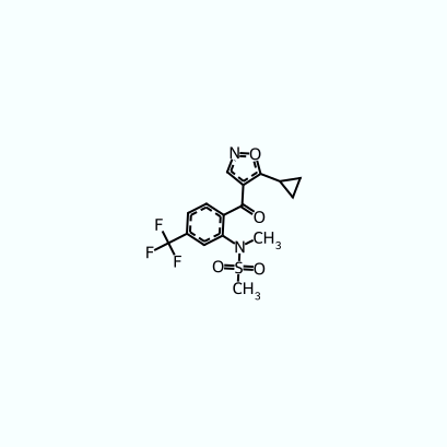 CN(c1cc(C(F)(F)F)ccc1C(=O)c1cnoc1C1CC1)S(C)(=O)=O